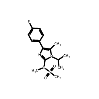 Cc1c(-c2ccc(F)cc2)nc(N(C)S(C)(=O)=O)n1C(C)C